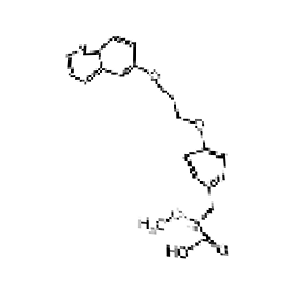 CO[C@@H](Cc1ccc(OCCCOc2ccc3ncccc3c2)cc1)C(=O)O